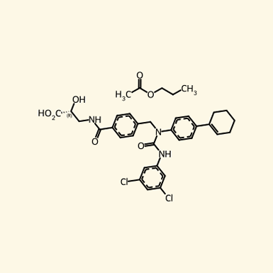 CCCOC(C)=O.O=C(NC[C@@H](O)C(=O)O)c1ccc(CN(C(=O)Nc2cc(Cl)cc(Cl)c2)c2ccc(C3=CCCCC3)cc2)cc1